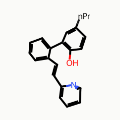 CCCc1ccc(O)c(-c2ccccc2/C=C/c2ccccn2)c1